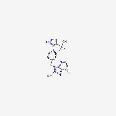 CCCc1nc2c(C)ccnc2n1Cc1ccc(-c2[nH]ccc2C(C)(C)C#N)cc1